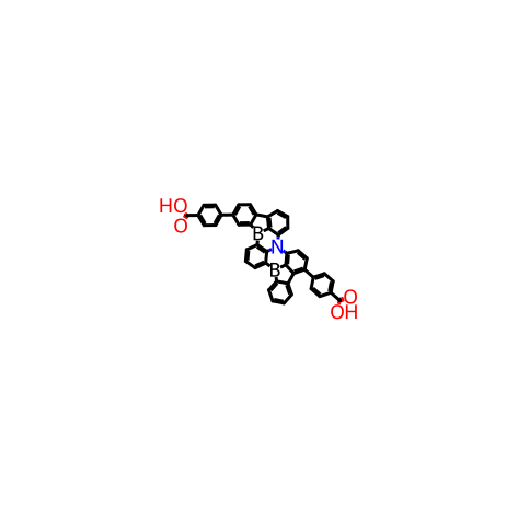 O=C(O)c1ccc(-c2ccc3c(c2)B2c4cccc5c4N(c4cccc-3c42)c2ccc(-c3ccc(C(=O)O)cc3)c3c2B5c2ccccc2-3)cc1